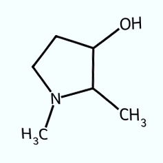 CC1C(O)CCN1C